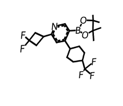 CC1(C)OB(c2cnc(C3CC(F)(F)C3)cc2C2CCC(C(F)(F)F)CC2)OC1(C)C